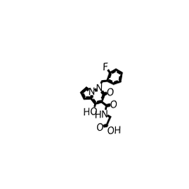 O=C(O)CNC(=O)c1c(O)c2cccn2n(Cc2ccccc2F)c1=O